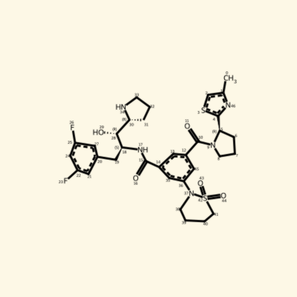 Cc1csc([C@H]2CCCN2C(=O)c2cc(C(=O)N[C@@H](Cc3cc(F)cc(F)c3)[C@H](O)[C@H]3CCCN3)cc(N3CCCCS3(=O)=O)c2)n1